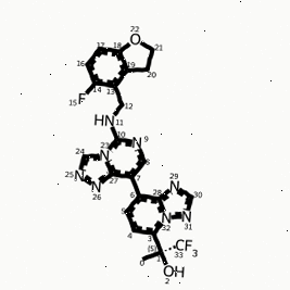 C[C@](O)(c1ccc(-c2cnc(NCc3c(F)ccc4c3CCO4)n3cnnc23)c2ncnn12)C(F)(F)F